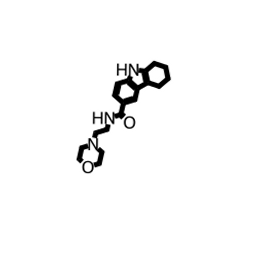 O=C(NCCN1CCOCC1)c1ccc2[nH]c3c(c2c1)CCCC3